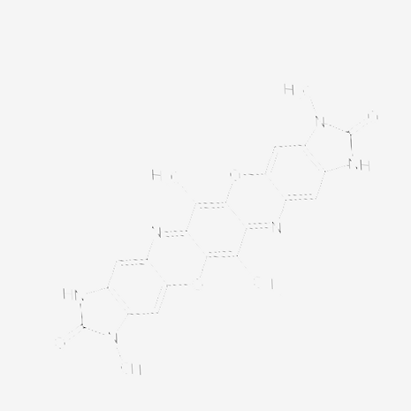 Cc1c2c(c(C)c3c1=Nc1cc4[nH]c(=O)n(C)c4cc1O3)=Nc1cc3[nH]c(=O)n(C)c3cc1O2